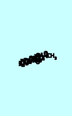 CCC(=O)c1ccc2c(c1)OCCN(CC(O)CN1CCC3=C(CCCC3)C1)C2=O